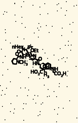 CCCCCCN(C(=O)[C@H](NC(=O)[C@@H]1CCCCN1C)[C@H](C)CC)[C@@H](C[C@H](OCC)c1nc(C(=O)N[C@H](Cc2ccc(NCC(=O)O)cc2)CC(C)(C)C(=O)O)cs1)C(C)C